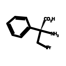 CC(C)C[C@@](N)(C(=O)O)c1ccccc1